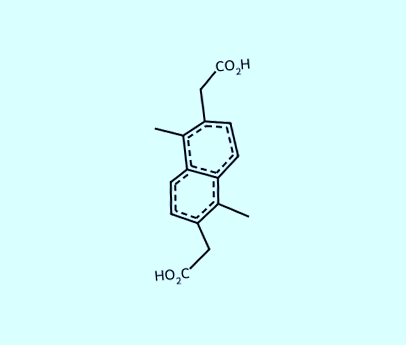 Cc1c(CC(=O)O)ccc2c(C)c(CC(=O)O)ccc12